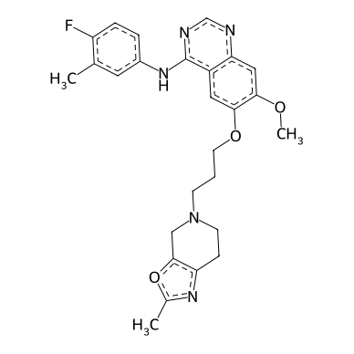 COc1cc2ncnc(Nc3ccc(F)c(C)c3)c2cc1OCCCN1CCc2nc(C)oc2C1